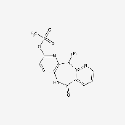 CCCN1c2nc(OS(=O)(=O)C(F)(F)F)ccc2NC(=O)c2cccnc21